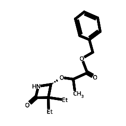 CCC1(CC)C(=O)N[C@@H]1OC(C)C(=O)OCc1ccccc1